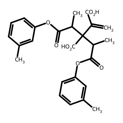 C=C(C(=O)O)C(C(=O)O)(C(C)C(=O)Oc1cccc(C)c1)C(C)C(=O)Oc1cccc(C)c1